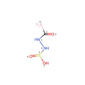 BC(=O)NNS(=O)O